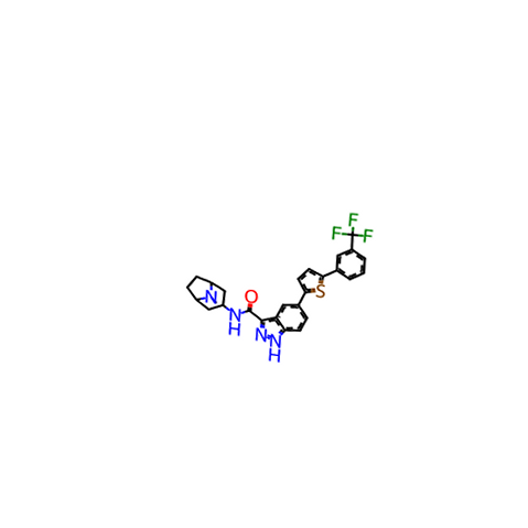 CN1C2CCC1CC(NC(=O)c1n[nH]c3ccc(-c4ccc(-c5cccc(C(F)(F)F)c5)s4)cc13)C2